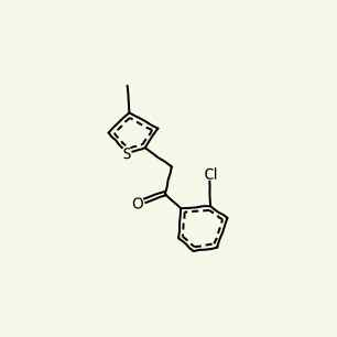 Cc1csc(CC(=O)c2ccccc2Cl)c1